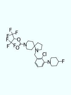 O=C(OC(C(F)(F)F)C(F)(F)F)N1CCC2(CCCN2Cc2cccc(N3CCC(F)CC3)c2Cl)CC1